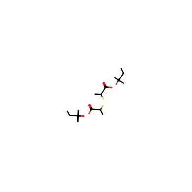 CCC(C)(C)OC(=O)C(C)SC(C)C(=O)OC(C)(C)CC